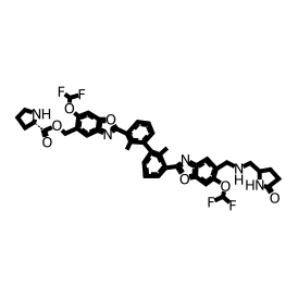 Cc1c(-c2nc3cc(CNCC4CCC(=O)N4)c(OC(F)F)cc3o2)cccc1-c1cccc(-c2nc3cc(COC(=O)[C@@H]4CCCN4)c(OC(F)F)cc3o2)c1C